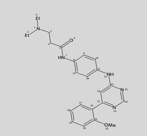 CCN(CC)CCC(=O)Nc1ccc(Nc2cc(-c3ccccc3OC)ncn2)cc1